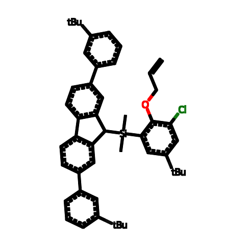 C=CCOc1c(Cl)cc(C(C)(C)C)cc1[Si](C)(C)C1c2cc(-c3cccc(C(C)(C)C)c3)ccc2-c2ccc(-c3cccc(C(C)(C)C)c3)cc21